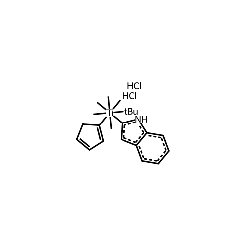 C[C](C)(C)[Ti]([CH3])([CH3])([CH3])([CH3])([CH3])([C]1=CC=CC1)[c]1cc2ccccc2[nH]1.Cl.Cl